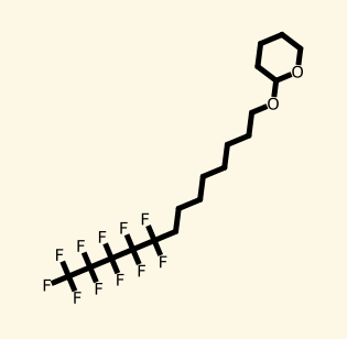 FC(F)(F)C(F)(F)C(F)(F)C(F)(F)C(F)(F)CCCCCCCCOC1CCCCO1